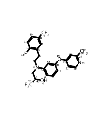 O[C@H](CN(CCc1cc(C(F)(F)F)ccc1F)c1cccc(Oc2ccnc(C(F)(F)F)c2)c1)C(F)(F)F